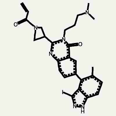 C=CC(=O)N1CC(c2nc3ccc(-c4c(C)ccc5[nH]nc(I)c45)cc3c(=O)n2CCCN(C)C)C1